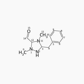 CN1NC(Cc2ccccc2)N(C)C1C=O